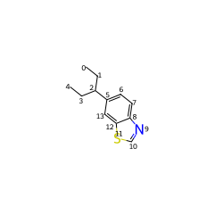 CCC(CC)c1ccc2ncsc2c1